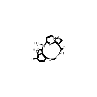 CC1c2c(ccc(F)c2Cl)OCCNC(=O)c2cnn3ccc(nc23)N1C